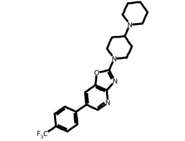 FC(F)(F)c1ccc(-c2cnc3nc(N4CCC(N5CCCCC5)CC4)oc3c2)cc1